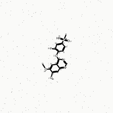 COc1cc2ncnc(Oc3ccc(S(C)(=N)=O)cc3F)c2cc1OC